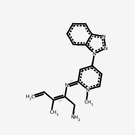 C=C/C(C)=C(CN)\N=c1\cc(-n2nnc3ccccc32)ccn1C